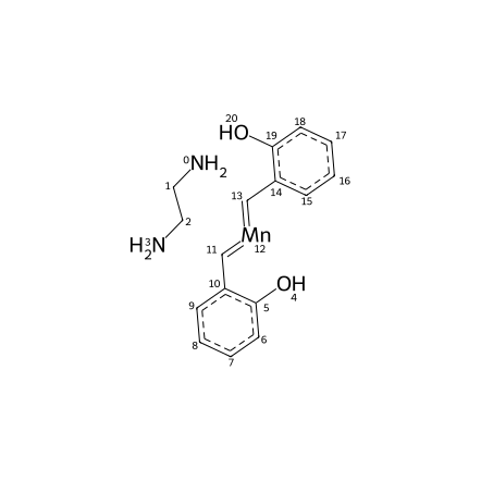 NCCN.Oc1ccccc1[CH]=[Mn]=[CH]c1ccccc1O